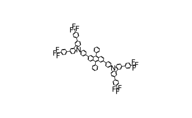 FC(F)(F)c1ccc(-c2ccc3c(c2)c2cc(-c4ccc(C(F)(F)F)cc4)ccc2n3-c2ccc(-c3ccc4c(-c5ccccc5)c5cc(-c6ccc(-n7c8ccc(-c9ccc(C(F)(F)F)cc9)cc8c8cc(-c9ccc(C(F)(F)F)cc9)ccc87)cc6)ccc5c(-c5ccccc5)c4c3)cc2)cc1